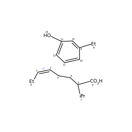 CC/C=C\CCC(C(=O)O)C(C)C.CCc1cccc(O)c1